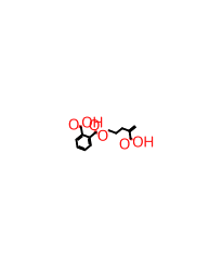 C=C(CCCOC(=O)c1ccccc1C(=O)O)C(=O)O